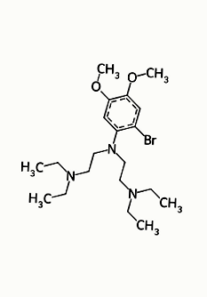 CCN(CC)CCN(CCN(CC)CC)c1cc(OC)c(OC)cc1Br